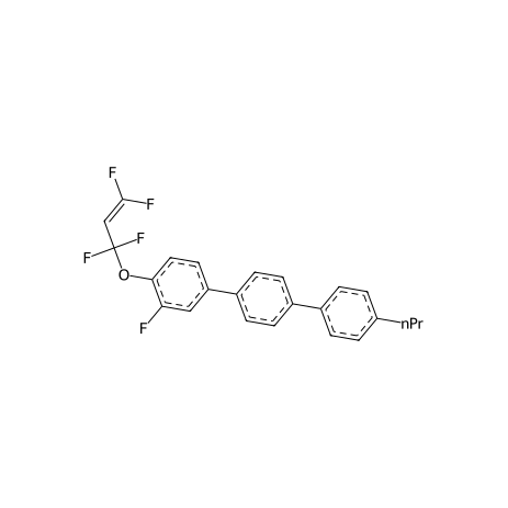 CCCc1ccc(-c2ccc(-c3ccc(OC(F)(F)C=C(F)F)c(F)c3)cc2)cc1